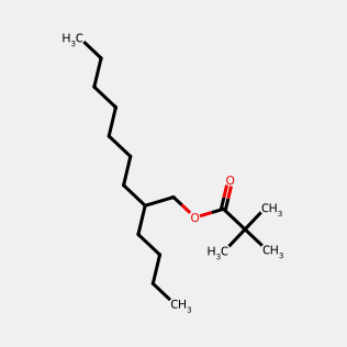 CCCCCCCC(CCCC)COC(=O)C(C)(C)C